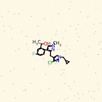 C[C@@H](O)c1cc(F)ccc1-c1cn(C)nc1Cc1cn(CC2CC2)nc1Cl